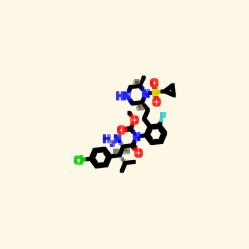 COC(=O)N(C(=O)[C@@H](N)[C@@H](c1ccc(Cl)cc1)C(C)C)c1cccc(F)c1CC[C@H]1CNC[C@@H](C)N1S(=O)(=O)C1CC1